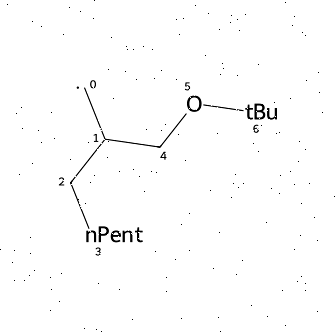 [CH2]C(CCCCCC)COC(C)(C)C